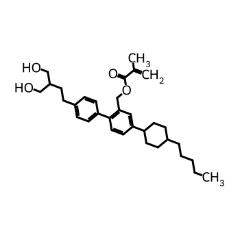 C=C(C)C(=O)OCc1cc(C2CCC(CCCCC)CC2)ccc1-c1ccc(CCC(CO)CO)cc1